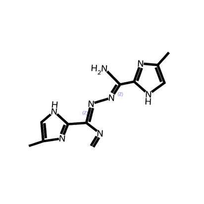 C=N/C(=N\N=C(/N)c1nc(C)c[nH]1)c1nc(C)c[nH]1